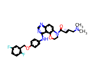 CN(C)C/C=C/C(=O)N1CCOc2c1ccc1ncnc(Nc3ccc(OCc4cc(F)ccc4F)cc3)c21